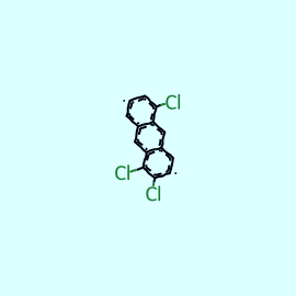 Clc1[c]cc2cc3c(Cl)c[c]cc3cc2c1Cl